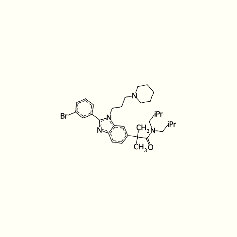 CC(C)CN(CC(C)C)C(=O)C(C)(C)c1ccc2nc(-c3cccc(Br)c3)n(CCCN3CCCCC3)c2c1